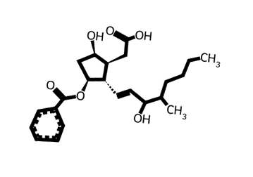 CCCCC(C)C(O)C=C[C@H]1[C@H](CC(=O)O)[C@H](O)C[C@@H]1OC(=O)c1ccccc1